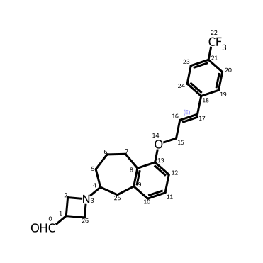 O=CC1CN(C2CCCc3c(cccc3OC/C=C/c3ccc(C(F)(F)F)cc3)C2)C1